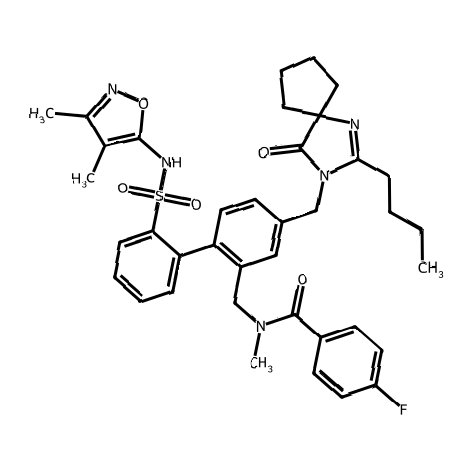 CCCCC1=NC2(CCCC2)C(=O)N1Cc1ccc(-c2ccccc2S(=O)(=O)Nc2onc(C)c2C)c(CN(C)C(=O)c2ccc(F)cc2)c1